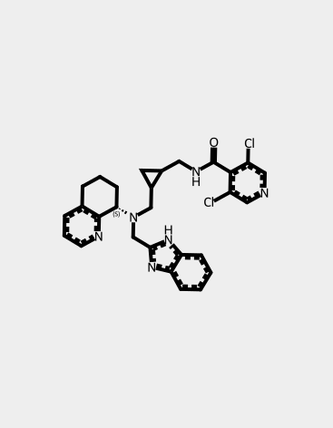 O=C(NCC1CC1CN(Cc1nc2ccccc2[nH]1)[C@H]1CCCc2cccnc21)c1c(Cl)cncc1Cl